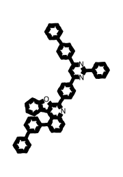 c1ccc(-c2ccc(-c3cc(-c4ccc(-c5nc6cccc(-c7cccc(-c8ccccc8)c7)c6c6c5oc5ccccc56)cc4)nc(-c4ccccc4)n3)cc2)cc1